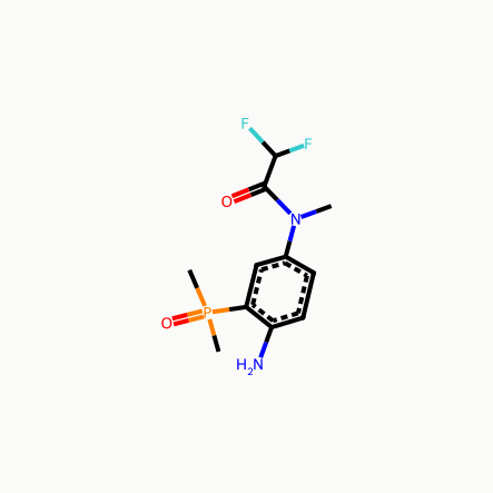 CN(C(=O)C(F)F)c1ccc(N)c(P(C)(C)=O)c1